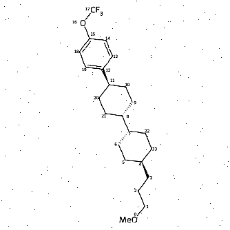 COCCC[C@H]1CC[C@H]([C@H]2CC[C@H](c3ccc(OC(F)(F)F)cc3)CC2)CC1